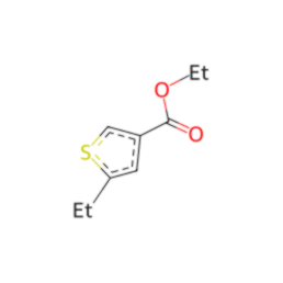 CCOC(=O)c1csc(CC)c1